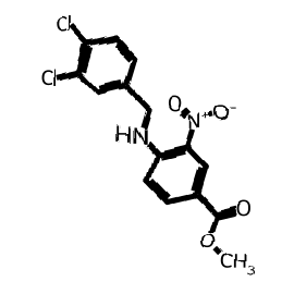 COC(=O)c1ccc(NCc2ccc(Cl)c(Cl)c2)c([N+](=O)[O-])c1